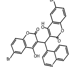 O=c1oc2ccc(Br)cc2c(O)c1C(c1c(O)c2cc(Br)ccc2oc1=O)c1ccnc2ccccc12